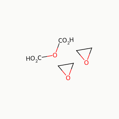 C1CO1.C1CO1.O=C(O)OC(=O)O